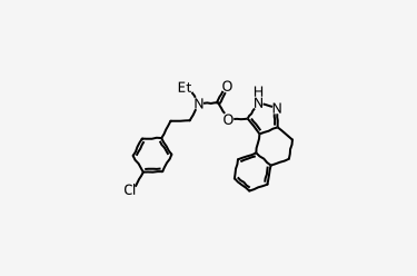 CCN(CCc1ccc(Cl)cc1)C(=O)Oc1[nH]nc2c1-c1ccccc1CC2